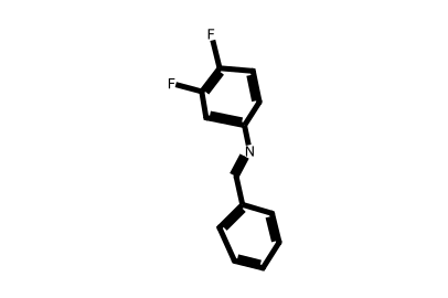 Fc1ccc(/N=C/c2ccccc2)cc1F